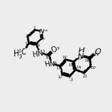 Cc1ccncc1NC(=O)Nc1ccc2c(c1)NC(=O)CC2